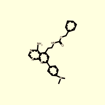 CN(C)c1ccc(-c2cc(CCNC(=O)OCc3ccccc3)c3c(N)ncnc3n2)cc1